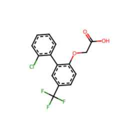 O=C(O)COc1ccc(C(F)(F)F)cc1-c1ccccc1Cl